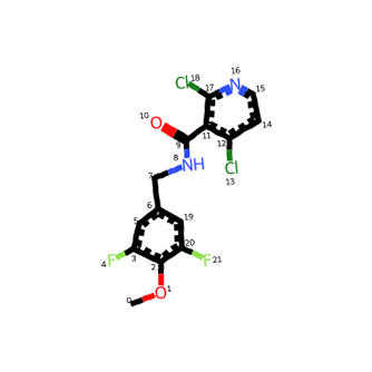 COc1c(F)cc(CNC(=O)c2c(Cl)ccnc2Cl)cc1F